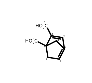 O=C(O)C1=CC2=CCC1(C(=O)O)C2